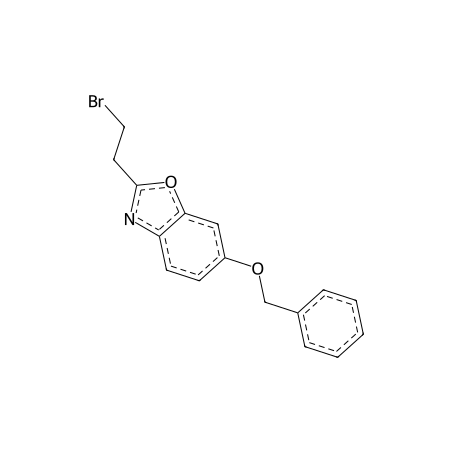 BrCCc1nc2ccc(OCc3ccccc3)cc2o1